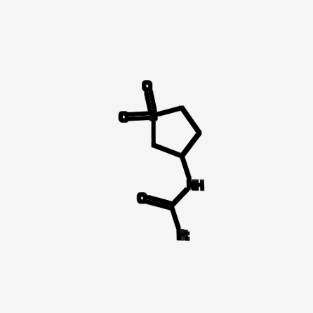 CCC(=O)NC1CCS(=O)(=O)C1